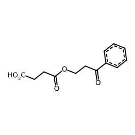 O=C(O)CCC(=O)OCCC(=O)c1ccccc1